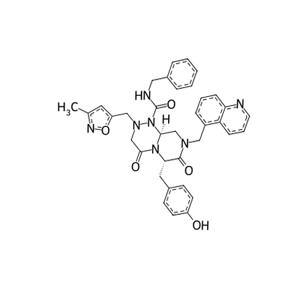 Cc1cc(CN2CC(=O)N3[C@@H](Cc4ccc(O)cc4)C(=O)N(Cc4cccc5ncccc45)C[C@@H]3N2C(=O)NCc2ccccc2)on1